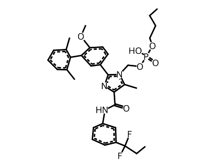 CCCCOP(=O)(O)OCn1c(-c2ccc(OC)c(-c3c(C)cccc3C)c2)nc(C(=O)Nc2cccc(C(F)(F)CC)c2)c1C